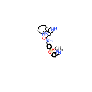 Cn1ncc2cccc(S(=O)(=O)c3ccc(CNC(=O)C4CC5CNCCC5(C5CCCCCCCCC5)N4)cc3)c21